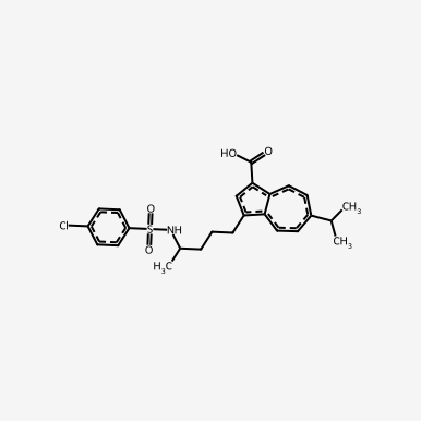 CC(CCCc1cc(C(=O)O)c2ccc(C(C)C)ccc1-2)NS(=O)(=O)c1ccc(Cl)cc1